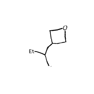 [CH2]C(CC)C1COC1